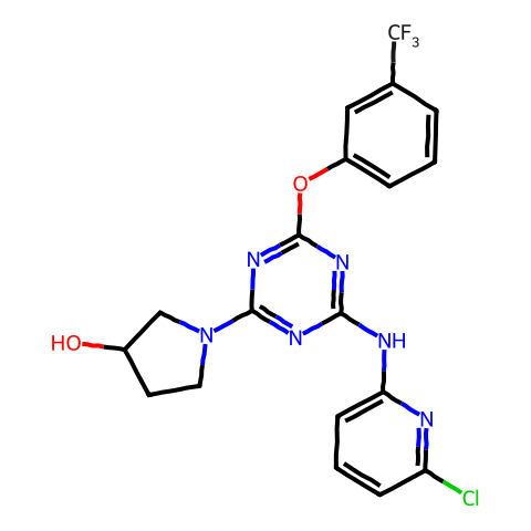 OC1CCN(c2nc(Nc3cccc(Cl)n3)nc(Oc3cccc(C(F)(F)F)c3)n2)C1